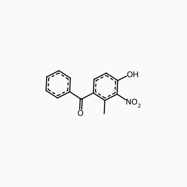 Cc1c(C(=O)c2ccccc2)ccc(O)c1[N+](=O)[O-]